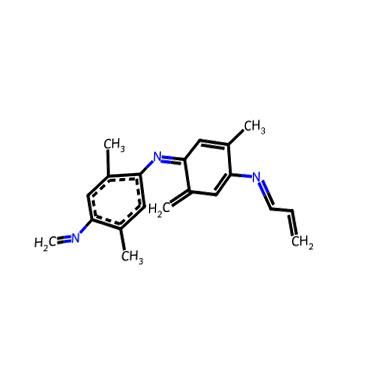 C=CC=NC1=CC(=C)/C(=N\c2cc(C)c(N=C)cc2C)C=C1C